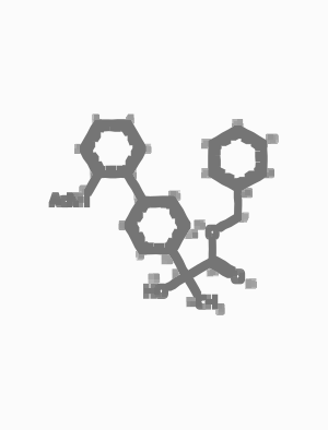 CC(=O)Nc1ccccc1-c1ccc(C(C)(O)C(=O)OCc2ccccc2)cc1